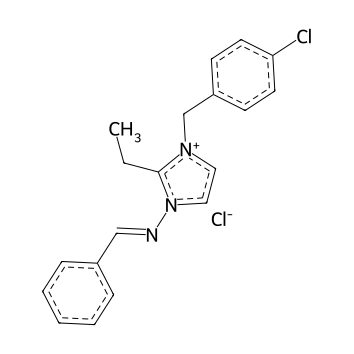 CCc1n(N=Cc2ccccc2)cc[n+]1Cc1ccc(Cl)cc1.[Cl-]